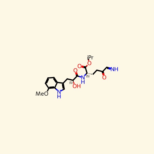 COc1cccc2c(C[C@H](O)C(=O)N[C@@H](CCC(=O)C=N)C(=O)OC(C)C)c[nH]c12